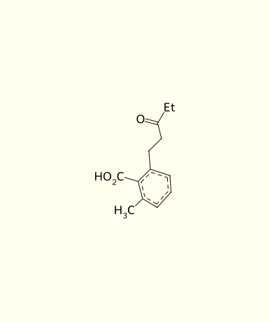 CCC(=O)CCc1cccc(C)c1C(=O)O